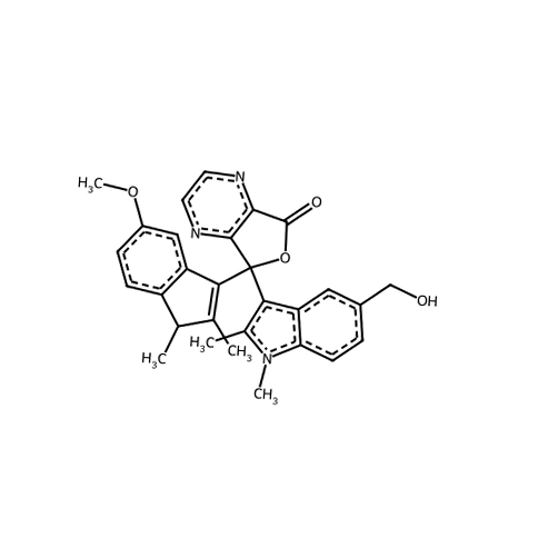 COc1ccc2c(c1)C(C1(c3c(C)n(C)c4ccc(CO)cc34)OC(=O)c3nccnc31)=C(C)C2C